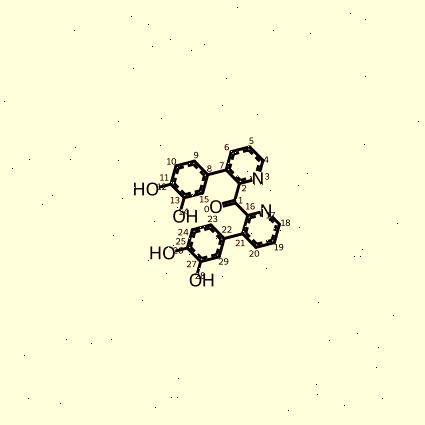 O=C(c1ncccc1-c1ccc(O)c(O)c1)c1ncccc1-c1ccc(O)c(O)c1